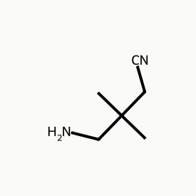 CC(C)(CN)CC#N